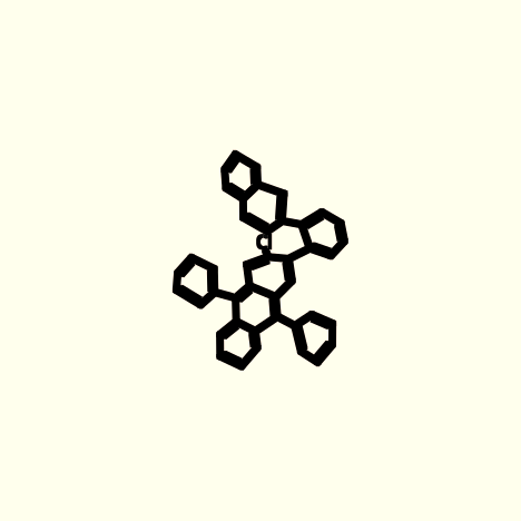 Clc1cc2c(-c3ccccc3)c3ccccc3c(-c3ccccc3)c2cc1-c1ccccc1-c1ccc2ccccc2c1